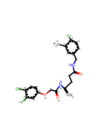 C=C(CCC(=O)NCc1ccc(F)c(C(F)(F)F)c1)NC(=O)COc1ccc(Cl)c(F)c1